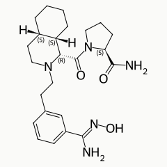 NC(=O)[C@@H]1CCCN1C(=O)[C@H]1[C@H]2CCCC[C@H]2CCN1CCc1cccc(C(N)=NO)c1